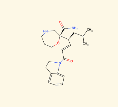 CC(C)C[C@@H](/C=C/C(=O)N1CCc2ccccc21)[C@@]1(C(N)=O)CNCCCO1